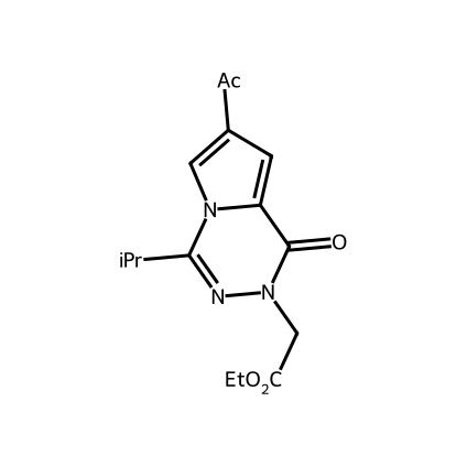 CCOC(=O)Cn1nc(C(C)C)n2cc(C(C)=O)cc2c1=O